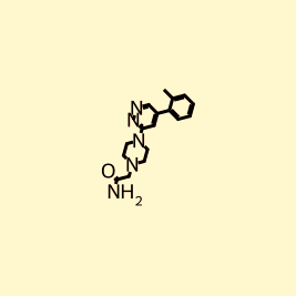 Cc1ccccc1-c1cnnc(N2CCN(CC(N)=O)CC2)c1